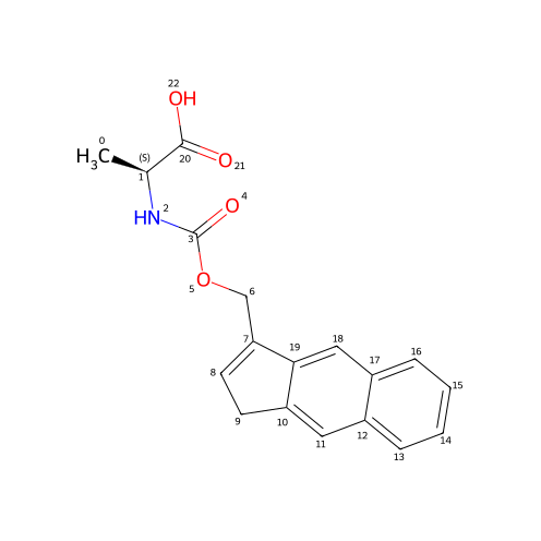 C[C@H](NC(=O)OCC1=CCc2cc3ccccc3cc21)C(=O)O